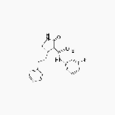 O=C1NCC(CCc2ccccc2)C1C(=O)Nc1cccc(F)c1F